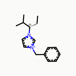 CC[C@@H](C(C)C)n1cc[n+](Cc2ccccc2)c1